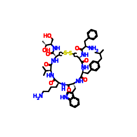 CC(C)Cc1ccc(C[C@@H]2NC(=O)[C@@H](NC(=O)[C@H](N)Cc3ccccc3)CSSC[C@@H](C(=O)N[C@H](CO)[C@@H](C)O)NC(=O)[C@H](C(C)C)NC(=O)[C@H](CCCCN)NC(=O)[C@@H](Cc3c[nH]c4ccccc34)NC2=O)cc1